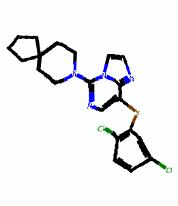 Clc1ccc(Cl)c(Sc2cnc(N3CCC4(CCCC4)CC3)n3ccnc23)c1